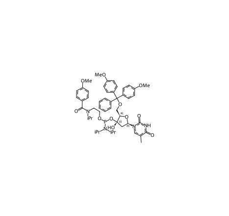 COc1ccc(C(=O)N(CCOP(O[C@@]2(O)C[C@H](n3cc(C)c(=O)[nH]c3=O)O[C@@H]2COC(c2ccccc2)(c2ccc(OC)cc2)c2ccc(OC)cc2)N(C(C)C)C(C)C)C(C)C)cc1